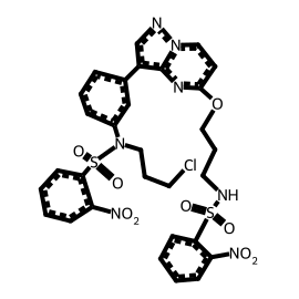 O=[N+]([O-])c1ccccc1S(=O)(=O)NCCCOc1ccn2ncc(-c3cccc(N(CCCCl)S(=O)(=O)c4ccccc4[N+](=O)[O-])c3)c2n1